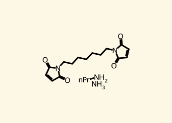 CCCN.N.O=C1C=CC(=O)N1CCCCCCCN1C(=O)C=CC1=O